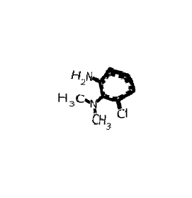 CN(C)c1c(N)cccc1Cl